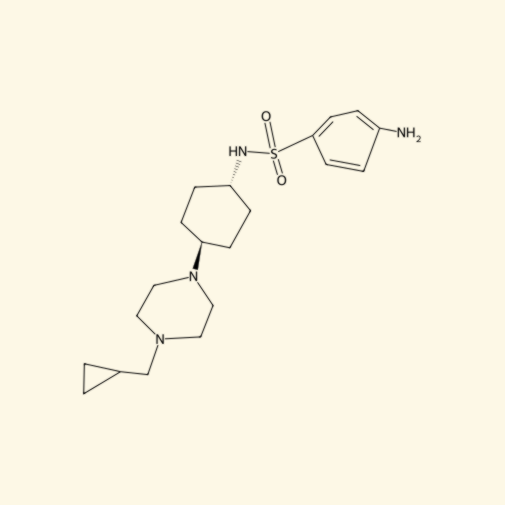 Nc1ccc(S(=O)(=O)N[C@H]2CC[C@H](N3CCN(CC4CC4)CC3)CC2)cc1